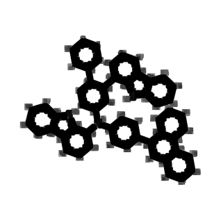 c1ccc(-c2ccc(N(c3ccc(-c4cc5ccccc5c5ccccc45)cc3)c3cccc4c3sc3ccccc34)cc2-c2cccc3c2sc2ccccc23)cc1